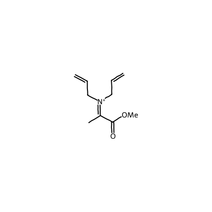 C=CC[N+](CC=C)=C(C)C(=O)OC